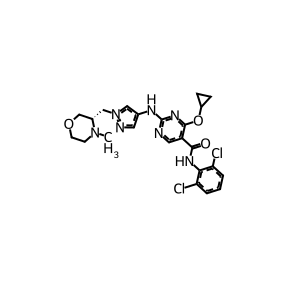 CN1CCOC[C@@H]1Cn1cc(Nc2ncc(C(=O)Nc3c(Cl)cccc3Cl)c(OC3CC3)n2)cn1